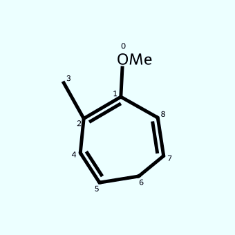 COC1=C(C)C=CCC=C1